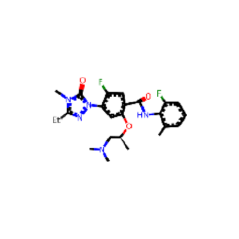 CCc1nn(-c2cc(O[C@@H](C)CN(C)C)c(C(=O)Nc3c(C)cccc3F)cc2F)c(=O)n1C